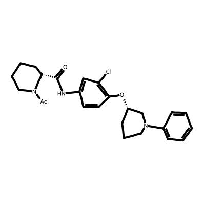 CC(=O)N1CCCC[C@@H]1C(=O)Nc1ccc(O[C@H]2CCCN(c3ccccc3)C2)c(Cl)c1